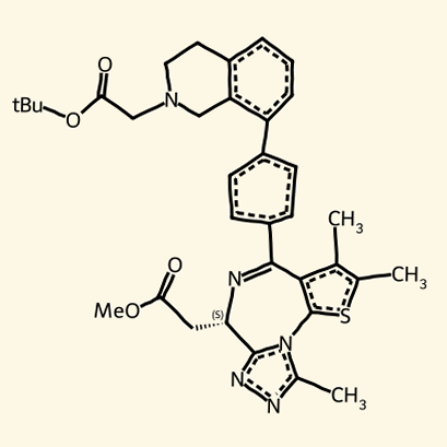 COC(=O)C[C@@H]1N=C(c2ccc(-c3cccc4c3CN(CC(=O)OC(C)(C)C)CC4)cc2)c2c(sc(C)c2C)-n2c(C)nnc21